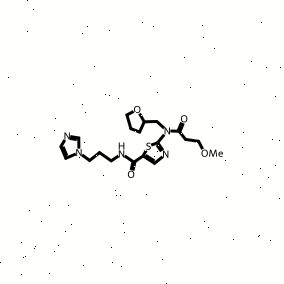 COCCC(=O)N(CC1CCCO1)c1ncc(C(=O)NCCCn2ccnc2)s1